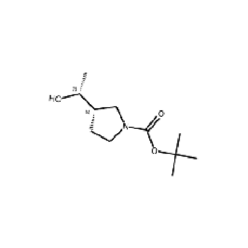 C[C@@H](O)[C@H]1CCN(C(=O)OC(C)(C)C)C1